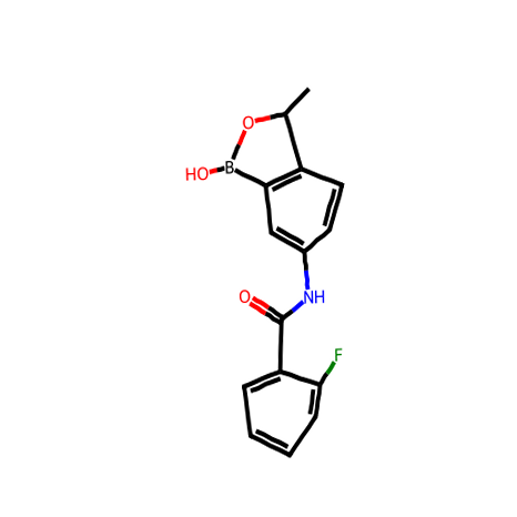 CC1OB(O)c2cc(NC(=O)c3ccccc3F)ccc21